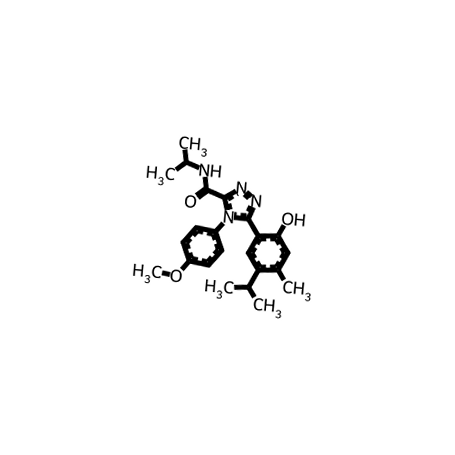 COc1ccc(-n2c(C(=O)NC(C)C)nnc2-c2cc(C(C)C)c(C)cc2O)cc1